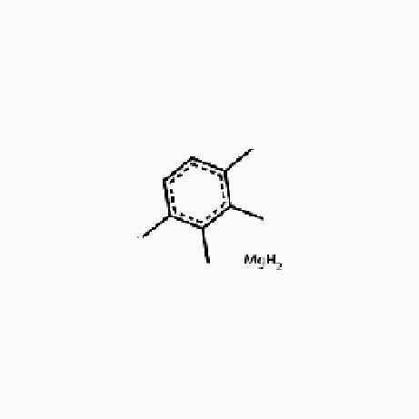 [CH2]c1ccc(C)c(C)c1C.[MgH2]